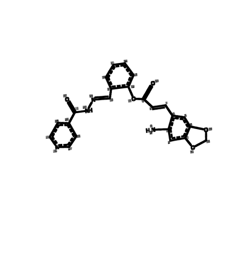 Nc1cc2c(cc1/C=C/C(=O)Oc1ccccc1/C=N/NC(=O)c1ccncc1)OCO2